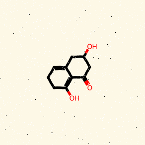 O=C1CC(O)CC2=CCCC(O)=C12